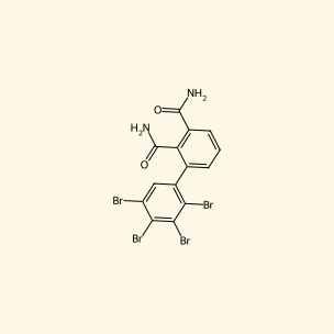 NC(=O)c1cccc(-c2cc(Br)c(Br)c(Br)c2Br)c1C(N)=O